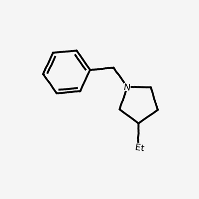 CCC1CCN(Cc2ccccc2)C1